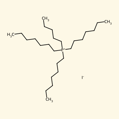 CCCCCCC[P+](CCCCC)(CCCCCCC)CCCCCCC.[I-]